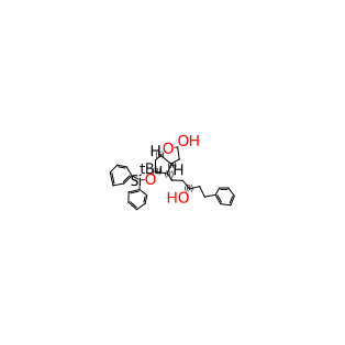 CC(C)(C)[Si](O[C@@H]1C[C@@H]2OC(O)C[C@@H]2[C@H]1CC[C@@H](O)CCc1ccccc1)(c1ccccc1)c1ccccc1